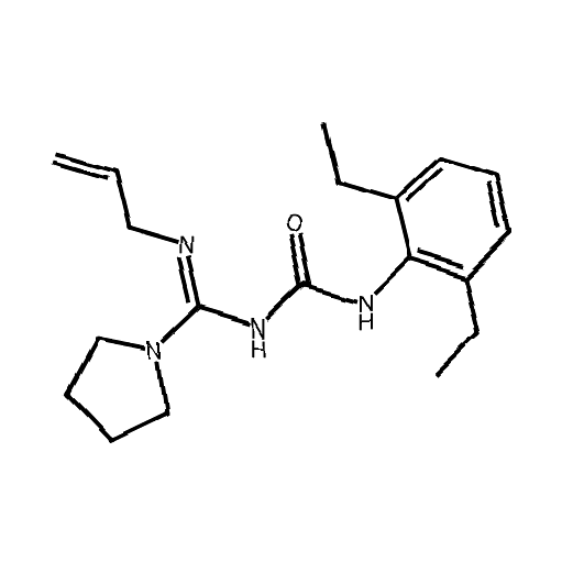 C=CCN=C(NC(=O)Nc1c(CC)cccc1CC)N1CCCC1